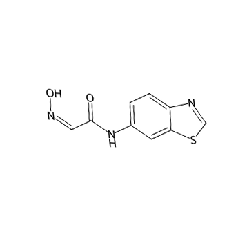 O=C(/C=N\O)Nc1ccc2ncsc2c1